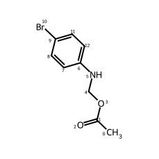 CC(=O)OCNc1ccc(Br)cc1